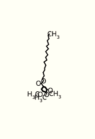 CCCCCCCCCCCCCCCCCCOC(=O)c1cc(OC)c(OC)c(OC)c1